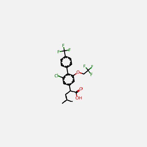 CC(C)CC(C(=O)O)c1cc(Cl)c(-c2ccc(C(F)(F)F)cc2)c(OCC(F)(F)F)c1